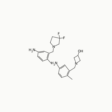 Cc1ccc(N)cc1CN1CC(O)C1.Cc1ccc(N)cc1CN1CCC(F)(F)C1